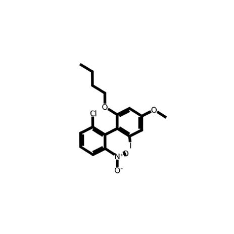 CCCCOc1cc(OC)cc(I)c1-c1c(Cl)cccc1[N+](=O)[O-]